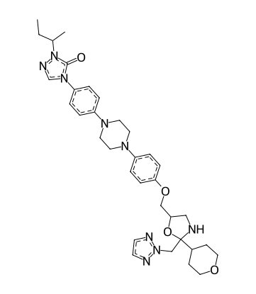 CCC(C)n1ncn(-c2ccc(N3CCN(c4ccc(OCC5CNC(Cn6nccn6)(C6CCOCC6)O5)cc4)CC3)cc2)c1=O